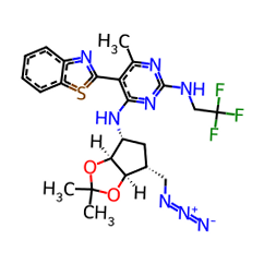 Cc1nc(NCC(F)(F)F)nc(N[C@@H]2C[C@H](CN=[N+]=[N-])[C@H]3OC(C)(C)O[C@H]32)c1-c1nc2ccccc2s1